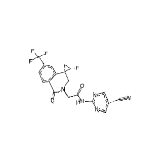 N#Cc1cnc(NC(=O)CN2CC3(C[C@@H]3F)c3cc(C(F)(F)F)ccc3C2=O)nc1